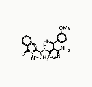 CCCn1c(C(C)Nc2ncnc(N)c2C(=N)c2cccc(OC)c2)nc2ccccc2c1=O